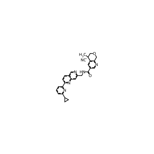 C[C@@]1(C#N)COCc2ncc(C(=O)NCc3cc4nc(-c5cccc(C6CC6)n5)ccc4cn3)cc21